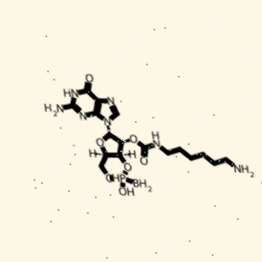 B[PH]1(O)OC[C@H]2O[C@@H](n3cnc4c(=O)[nH]c(N)nc43)[C@@H](OC(=O)NCCCCCCN)[C@H]2O1